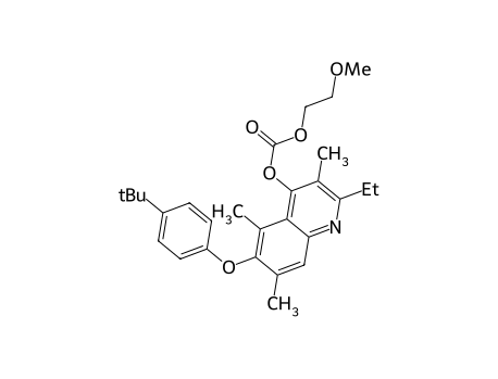 CCc1nc2cc(C)c(Oc3ccc(C(C)(C)C)cc3)c(C)c2c(OC(=O)OCCOC)c1C